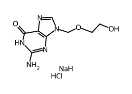 Cl.Nc1nc2c(ncn2COCCO)c(=O)[nH]1.[NaH]